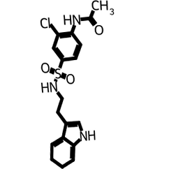 CC(=O)Nc1ccc(S(=O)(=O)NCCc2c[nH]c3c2=CCCC=3)cc1Cl